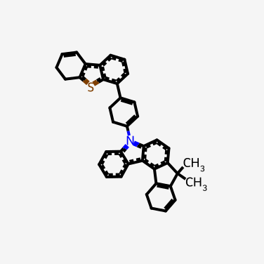 CC1(C)C2=C(CCC=C2)c2c1ccc1c2c2ccccc2n1C1=CC=C(c2cccc3c4c(sc23)CCC=C4)CC1